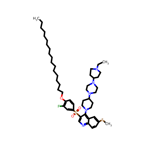 CCCCCCCCCCCCCCCCCCOc1ccc(S(=O)(=O)c2cnc3ccc(SC)cc3c2N2CCC(N3CCN(C4CCN(CC)CC4)CC3)CC2)cc1F